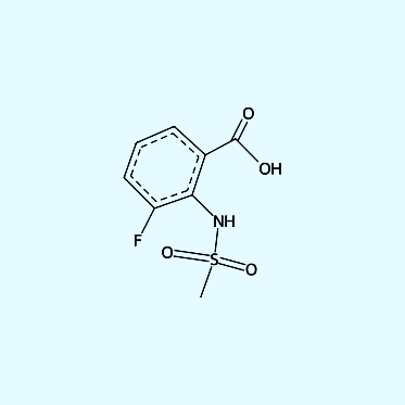 CS(=O)(=O)Nc1c(F)cccc1C(=O)O